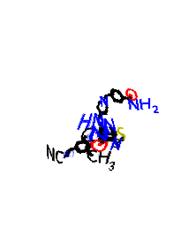 Cc1cc(/C=C/C#N)cc(C)c1Oc1nc(NC2CCN(Cc3ccc(C(N)=O)cc3)CC2)nc2scnc12